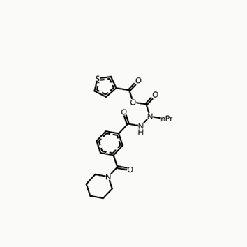 CCCN(NC(=O)c1cccc(C(=O)N2CCCCC2)c1)C(=O)OC(=O)c1ccsc1